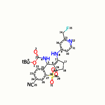 CC(C)(C)OC(=O)NC(C1=C(Nc2ccnc(CF)c2)CCC1=O)c1ccc(C#N)cc1S(C)(=O)=O